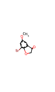 COc1cc(Br)c2c(c1)C(=O)CO2